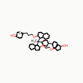 CC(c1ccc(-c2ccccc2)cc1)(c1c(OCCCc2ccc(O)cc2)ccc2ccccc12)c1c(OCCOc2ccc(O)cc2)ccc2ccccc12